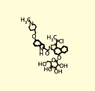 C[C@@H](Cl)[C@@H]1CN(C(=O)c2cc3cc(OCC4CCN(C)CC4)ccc3[nH]2)c2cc(O[C@@H]3OC(CO)[C@H](O)[C@H](O)C3O)c3ccccc3c21